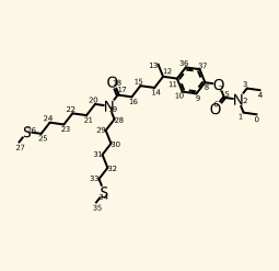 CCN(CC)C(=O)Oc1ccc(C(C)CCCC(=O)N(CCCCCCSC)CCCCCCSC)cc1